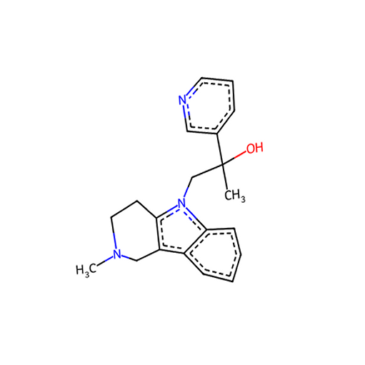 CN1CCc2c(c3ccccc3n2CC(C)(O)c2cccnc2)C1